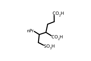 CCCC(CS(=O)(=O)O)C(CCC(=O)O)C(=O)O